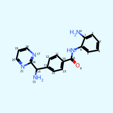 Nc1ccccc1NC(=O)c1ccc(C(N)c2ncccn2)cc1